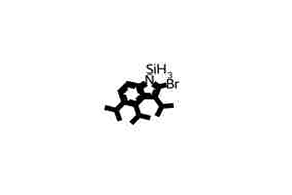 CC(C)c1ccc2c(c1C(C)C)c(C(C)C)c(Br)n2[SiH3]